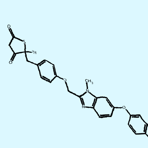 [2H]C1(Cc2ccc(OCc3nc4ccc(Oc5ccc(N)cc5)cc4n3C)cc2)SC(=O)CC1=O